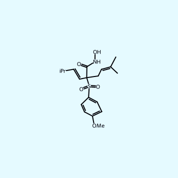 COc1ccc(S(=O)(=O)C(C=CC(C)C)(CC=C(C)C)C(=O)NO)cc1